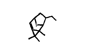 CCC1CC2C=C3C(C)(C)C3(C)C1S2